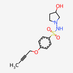 CC#CCOc1ccc(S(=O)(=O)NN2CCC(O)C2)cc1